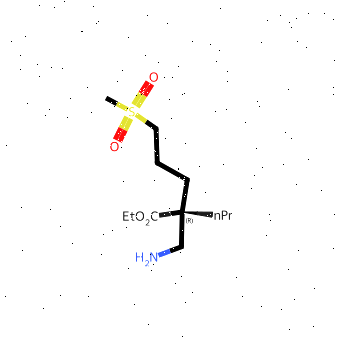 CCC[C@](CN)(CCCS(C)(=O)=O)C(=O)OCC